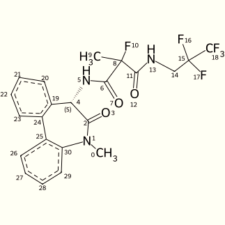 CN1C(=O)[C@@H](NC(=O)C(C)(F)C(=O)NCC(F)(F)C(F)(F)F)c2ccccc2-c2ccccc21